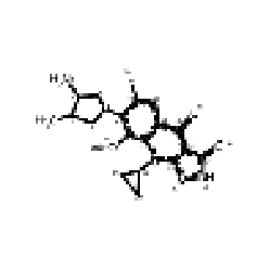 COc1c(N2CC(C)C(N)C2)c(F)cc2c(=O)c3c(=O)[nH]sc3n(C3CC3)c12